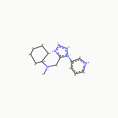 CN(Cc1nnnn1-c1cccnc1)C1CCCCC1